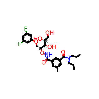 CCCN(CCC)C(=O)c1cc(C)cc(C(=O)NO[C@@H](COc2cc(F)cc(F)c2)[C@@H](O)[C@H](O)CO)c1